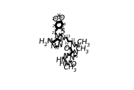 CNC(=O)n1cnc(C(=O)N(CCCn2c(Sc3cc4c(cc3I)OCO4)nc3c(N)ncnc32)C(C)C)c1N=N